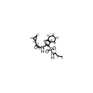 CCCNS(=O)(=O)c1c(NC2OC2C2CC2)sc2c1CCCC2